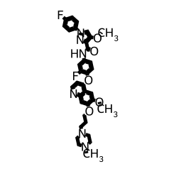 COc1cc2c(Oc3ccc(NC(=O)c4nn(-c5ccc(F)cc5)cc4OC)cc3F)ccnc2cc1OCCCN1CCN(C)CC1